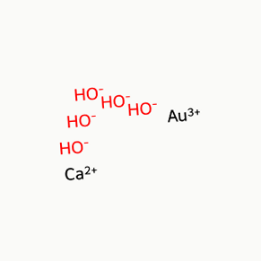 [Au+3].[Ca+2].[OH-].[OH-].[OH-].[OH-].[OH-]